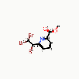 COC(=O)c1cccc(C(Br)C(Br)Br)n1